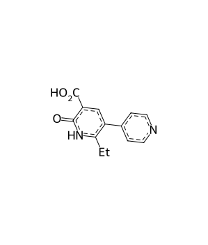 CCc1[nH]c(=O)c(C(=O)O)cc1-c1ccncc1